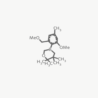 COCc1cc(C)cc(OC)c1B1COC(C)(C)C(C)(C)C1